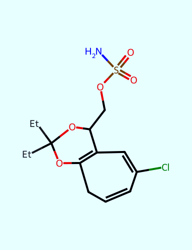 CCC1(CC)OC2=C(C=C(Cl)C=CC2)C(COS(N)(=O)=O)O1